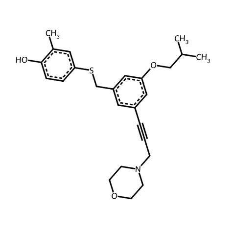 Cc1cc(SCc2cc(C#CCN3CCOCC3)cc(OCC(C)C)c2)ccc1O